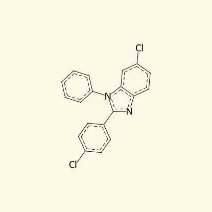 Clc1ccc(-c2nc3ccc(Cl)cc3n2-c2ccccc2)cc1